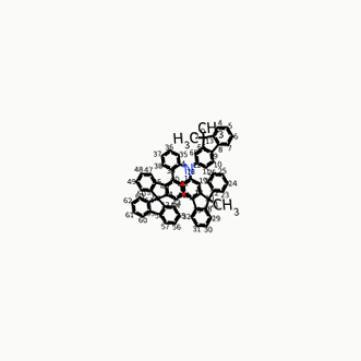 CC1(C)c2ccccc2-c2ccc(N(c3ccc4c(c3)C(C)(c3ccccc3)c3ccccc3-4)c3ccccc3-c3cccc4c3-c3ccccc3C43c4ccccc4-c4ccccc43)cc21